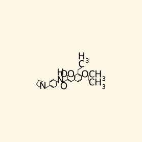 CCCc1c(O[C@H](C)CC)ccc2cc(C(=O)Nc3ccc(CN4CCCC4)cc3)c(=O)oc12